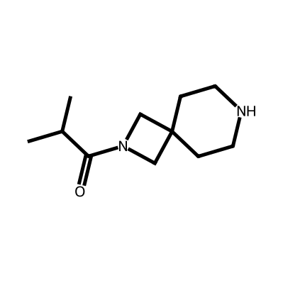 CC(C)C(=O)N1CC2(CCNCC2)C1